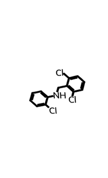 Clc1ccccc1NCc1c(Cl)cccc1Cl